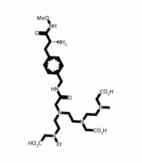 CCN(CCN(CCN(CCN(C)CC(=O)O)CC(=O)O)CC(=O)NCc1ccc(C[C@@H](N)C(=O)NOC)cc1)CC(=O)O